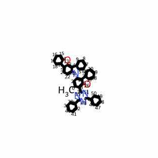 Cc1cc(-n2c3ccccc3c3c4oc5ccccc5c4ccc32)c2c(oc3ccccc32)c1-c1nc(-c2ccccc2)nc(-c2ccccc2)n1